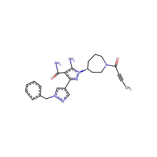 CC#CC(=O)N1CCC[C@H](n2nc(-c3cnn(Cc4ccccc4)c3)c(C(N)=O)c2N)CC1